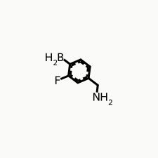 Bc1ccc(CN)cc1F